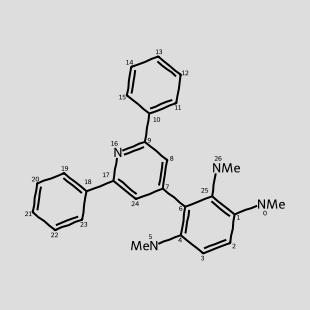 CNc1ccc(NC)c(-c2cc(-c3ccccc3)nc(-c3ccccc3)c2)c1NC